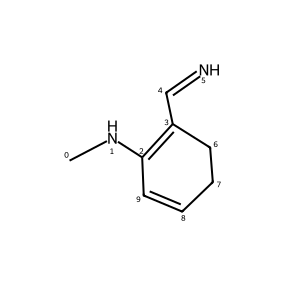 CNC1=C(C=N)CCC=C1